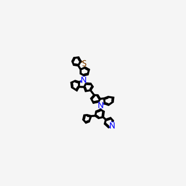 C1=C2Sc3ccccc3C2CC(n2c3ccccc3c3cc(-c4ccc5c(c4)c4ccccc4n5-c4cc(-c5ccccc5)cc(-c5ccncc5)c4)ccc32)=C1